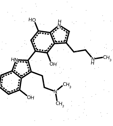 CNCCc1c[nH]c2c(O)cc(-c3[nH]c4cccc(O)c4c3CCN(C)C)c(O)c12